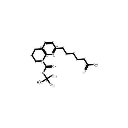 CC(C)(C)OC(=O)N1CCCc2ccc(CCCCCC(=O)O)nc21